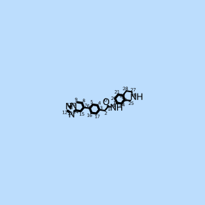 O=C(Cc1ccc(-c2ccn3ncnc3c2)cc1)Nc1ccc2c(c1)CNCC2